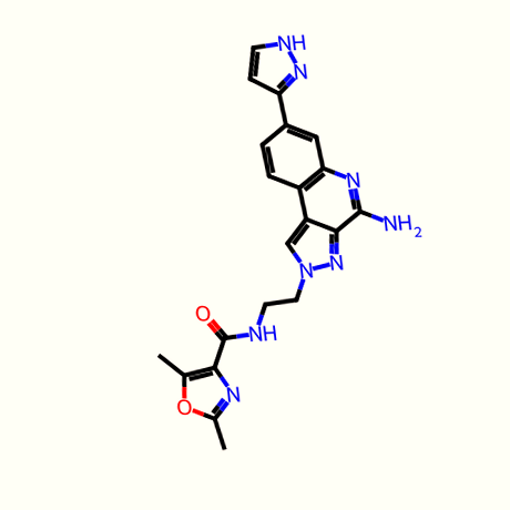 Cc1nc(C(=O)NCCn2cc3c(n2)c(N)nc2cc(-c4cc[nH]n4)ccc23)c(C)o1